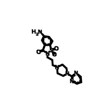 Nc1ccc2c(c1)C(=O)N(CCCN1CCN(c3ncccn3)CC1)S2(=O)=O